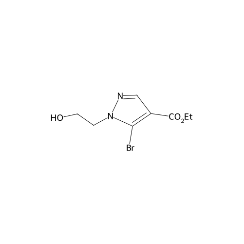 CCOC(=O)c1cnn(CCO)c1Br